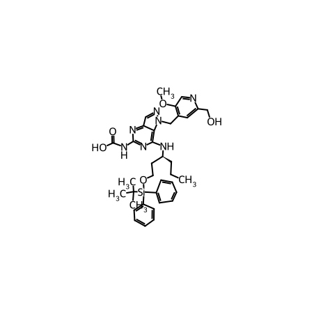 CCC[C@@H](CCO[Si](c1ccccc1)(c1ccccc1)C(C)(C)C)Nc1nc(NC(=O)O)nc2cnn(Cc3cc(CO)ncc3OC)c12